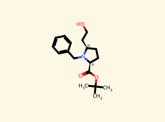 CC(C)(C)OC(=O)[C@@H]1CC[C@H](CCO)N1Cc1ccccc1